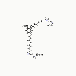 CCCC/C=C\C/C=C\CCCCCCCOc1cc(OCCCCCCCC/C=C\C/C=C\CCCCC)ccc1C=O